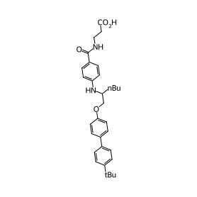 CCCCC(COc1ccc(-c2ccc(C(C)(C)C)cc2)cc1)Nc1ccc(C(=O)NCCC(=O)O)cc1